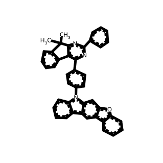 CC1(C)c2ccccc2-c2c(-c3ccc(-n4c5ccccc5c5cc6c(cc54)oc4ccccc46)cc3)nc(-c3ccccc3)nc21